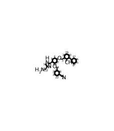 Cc1c(COc2ccc(-c3nc(CN)c[nH]3)c(OCc3cccc(C#N)c3)c2)cccc1-c1ccccc1